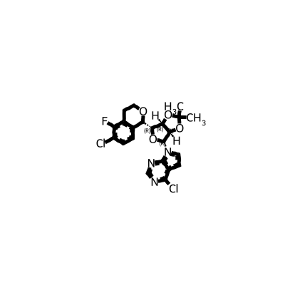 CC1(C)O[C@@H]2[C@H](O1)[C@@H](C1OCCc3c1ccc(Cl)c3F)O[C@H]2n1ccc2c(Cl)ncnc21